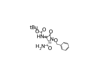 CC(C)(C)OC(=O)N[C@H]1C(=O)N(OCc2ccccc2)[C@@H]1C(N)=O